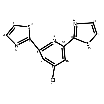 Clc1cc(-c2nccs2)nc(-c2nccs2)c1